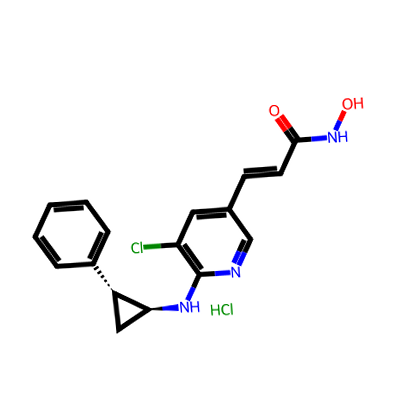 Cl.O=C(C=Cc1cnc(N[C@H]2C[C@@H]2c2ccccc2)c(Cl)c1)NO